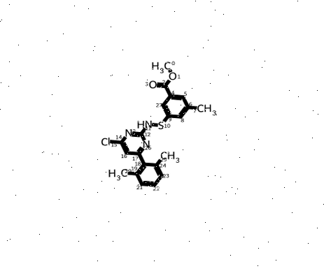 COC(=O)c1cc(C)cc(SNc2nc(Cl)cc(-c3c(C)cccc3C)n2)c1